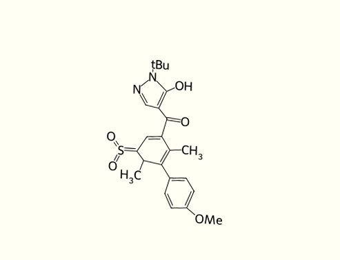 COc1ccc(C2=C(C)C(C(=O)c3cnn(C(C)(C)C)c3O)=CC(=S(=O)=O)C2C)cc1